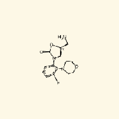 NC[C@H]1CN(c2cccc(F)c2N2CCOCC2)C(=O)O1